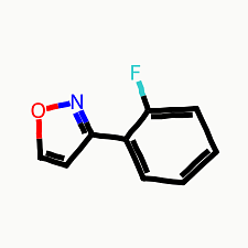 Fc1ccccc1-c1ccon1